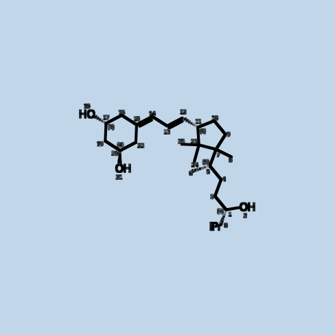 CC(C)[C@@H](O)CC[C@H](C)C1(C)CC[C@@H](C=CC=C2C[C@@H](O)C[C@H](O)C2)C1(C)C